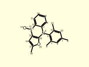 Cc1cc(C)c(N2c3ccccc3[S+]([O-])c3cc(C)oc32)c(C)c1